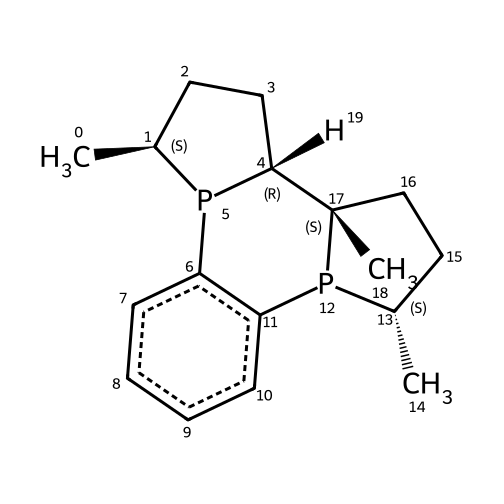 C[C@H]1CC[C@H]2P1c1ccccc1P1[C@@H](C)CC[C@@]21C